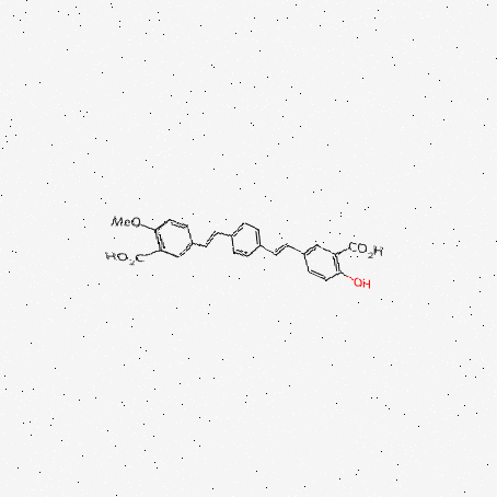 [11CH3]Oc1ccc(/C=C/c2ccc(/C=C/c3ccc(O)c(C(=O)O)c3)cc2)cc1C(=O)O